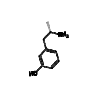 C[C@H](N)Cc1cccc(O)c1